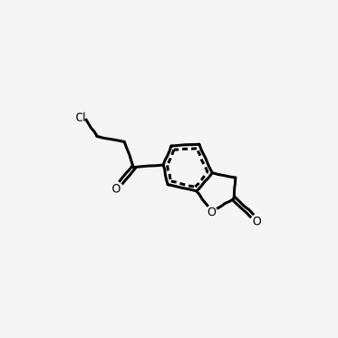 O=C1Cc2ccc(C(=O)CCCl)cc2O1